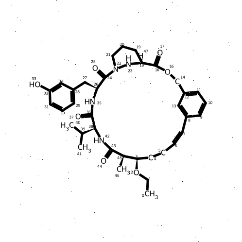 CCO[C@@H]1CCC=Cc2cccc(c2)COC(=O)[C@@H]2CCCN(N2)C(=O)[C@H](Cc2cccc(O)c2)NC(=O)[C@H](C(C)C)NC(=O)[C@@H]1C